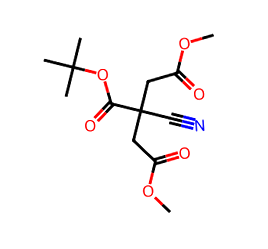 COC(=O)CC(C#N)(CC(=O)OC)C(=O)OC(C)(C)C